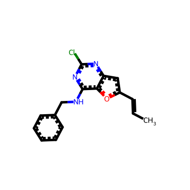 CC=Cc1cc2nc(Cl)nc(NCc3ccccc3)c2o1